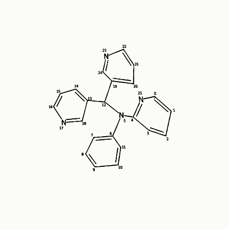 [c]1cccc(N(c2ccccc2)C(c2cccnc2)c2cccnc2)n1